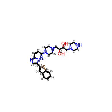 OC(CN1CCNCC1)C(O)CN1CCN(c2ccc3ncc(-c4cc5ccccc5s4)n3n2)CC1